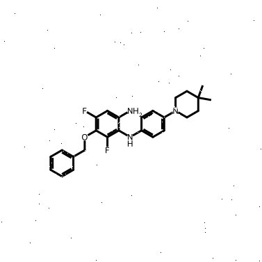 CC1(C)CCN(c2ccc(Nc3c(N)cc(F)c(OCc4ccccc4)c3F)cc2)CC1